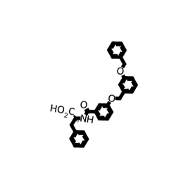 O=C(N[C@@H](Cc1ccccc1)C(=O)O)c1cccc(OCc2cccc(OCc3ccccc3)c2)c1